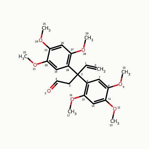 C=CC(CC=O)(c1cc(OC)c(OC)cc1OC)c1cc(OC)c(OC)cc1OC